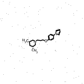 C[C@@H]1C[C@@H](C)CN(CCCOc2ccc(-n3cccc3)cc2)C1